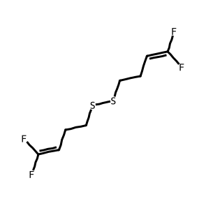 FC(F)=CCCSSCCC=C(F)F